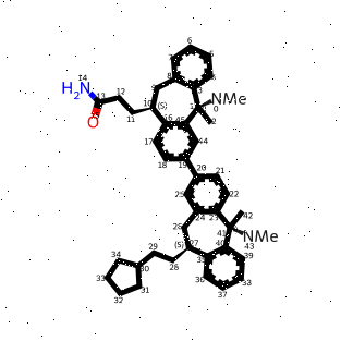 CN[C@]1(C)c2ccccc2C[C@H](CCC(N)=O)c2ccc(-c3ccc4c(c3)C[C@H](CCC3CCCC3)c3ccccc3[C@]4(C)NC)cc21